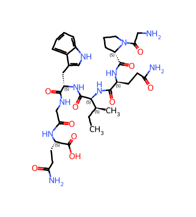 CC[C@H](C)[C@H](NC(=O)[C@H](CCC(N)=O)NC(=O)[C@@H]1CCCN1C(=O)CN)C(=O)N[C@@H](Cc1c[nH]c2ccccc12)C(=O)NCC(=O)N[C@@H](CCC(N)=O)C(=O)O